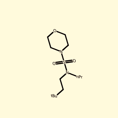 CCCN(CCC(C)(C)C)S(=O)(=O)N1CCOCC1